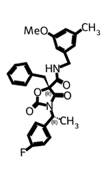 COc1cc(C)cc(CNC(=O)[C@@]2(Cc3ccccc3)OC(=O)N([C@H](C)c3ccc(F)cc3)C2=O)c1